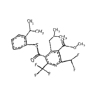 COC(=O)c1c(C(F)F)nc(C(F)(F)F)c(C(=O)Sc2ccccc2C(C)C)c1CC(C)C